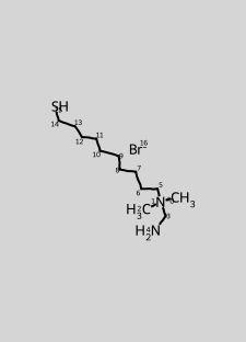 C[N+](C)(CN)CCCCCCCCCCS.[Br-]